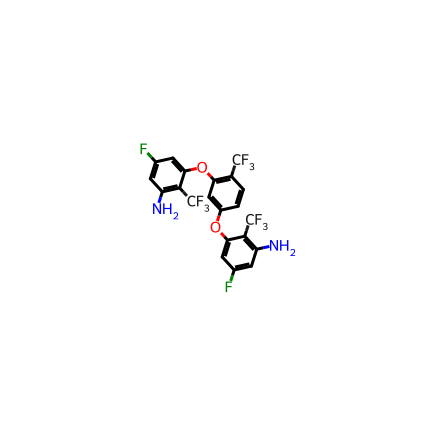 Nc1cc(F)cc(Oc2ccc(C(F)(F)F)c(Oc3cc(F)cc(N)c3C(F)(F)F)c2)c1C(F)(F)F